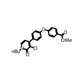 CCCCn1ccc(-c2ccc(Oc3ccc(C(=O)OC)cc3)cc2)c(Cl)c1=O